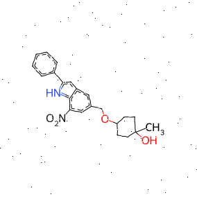 CC1(O)CCC(OCc2cc([N+](=O)[O-])c3[nH]c(-c4ccccc4)cc3c2)CC1